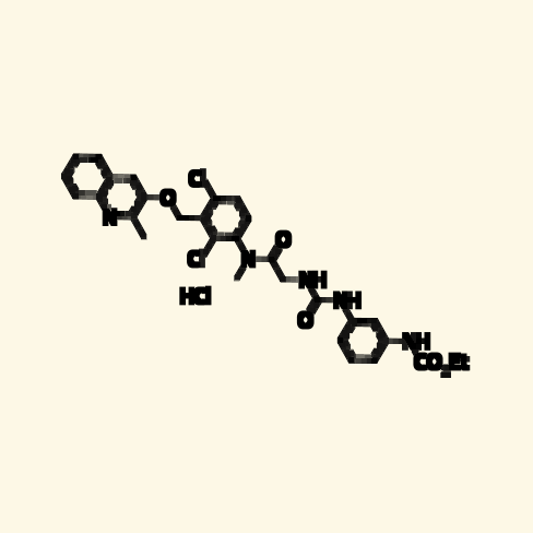 CCOC(=O)Nc1cccc(NC(=O)NCC(=O)N(C)c2ccc(Cl)c(COc3cc4ccccc4nc3C)c2Cl)c1.Cl